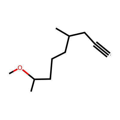 [C]#CCC(C)CCCC(C)OC